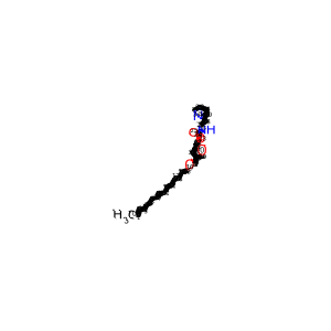 CCCCCCCCCCCCCCCCOCC1COC(COC(=O)NCCc2ccccn2)C1